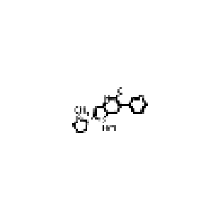 CN1CCC[C@H]1c1cc2nc(Cl)c(-c3cccnc3)cc2o1.Cl